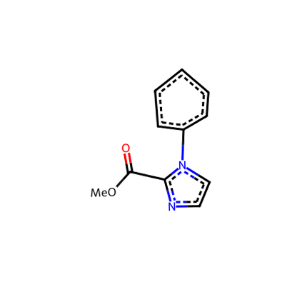 COC(=O)c1nccn1-c1ccccc1